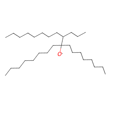 CCCCCCCCC(CCC)C([O])(CCCCCCCC)CCCCCCCC